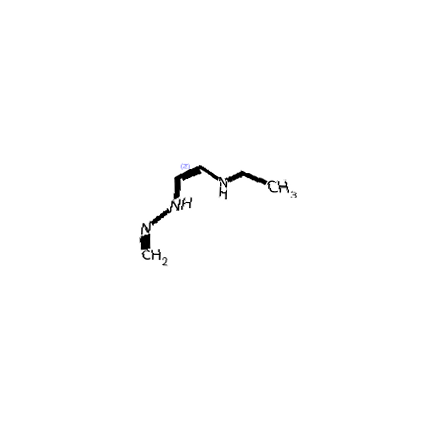 C=NN/C=C\NCC